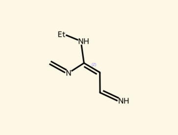 C=N/C(=C\C=N)NCC